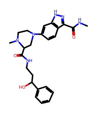 CNC(=O)c1n[nH]c2cc(N3CCN(C)C(C(=O)NCCC(O)c4ccccc4)C3)ccc12